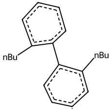 CCCCc1c[c]ccc1-c1ccccc1CCCC